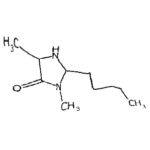 CCCCC1NC(C)C(=O)N1C